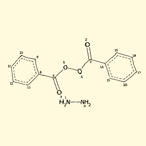 NN.O=C(OOC(=O)c1ccccc1)c1ccccc1